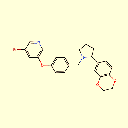 Brc1cncc(Oc2ccc(CN3CCCC3c3ccc4c(c3)OCCO4)cc2)c1